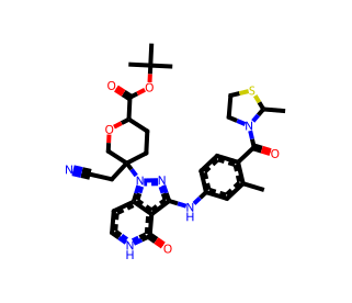 Cc1cc(Nc2nn(C3(CC#N)CCC(C(=O)OC(C)(C)C)OC3)c3cc[nH]c(=O)c23)ccc1C(=O)N1CCSC1C